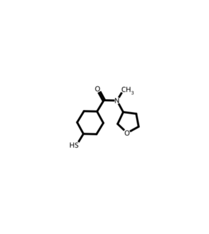 CN(C(=O)C1CCC(S)CC1)C1CCOC1